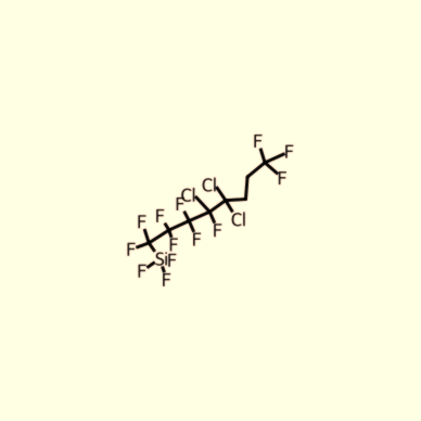 FC(F)(F)CCC(Cl)(Cl)C(F)(Cl)C(F)(F)C(F)(F)C(F)(F)[Si](F)(F)F